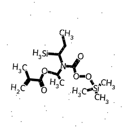 C=C(C)C(=O)OC(C)N(C(=O)OO[Si](C)(C)C)C([SiH3])CC